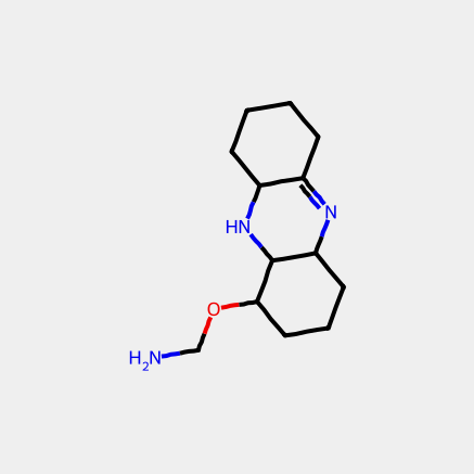 NCOC1CCCC2N=C3CCCCC3NC21